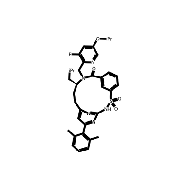 Cc1cccc(C)c1-c1cc2nc(n1)NS(=O)(=O)c1cccc(c1)C(=O)N(Cc1ncc(OC(C)C)cc1F)[C@H](CC(C)C)CC2